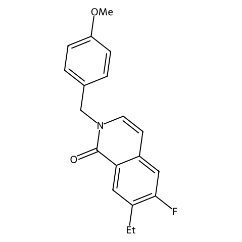 CCc1cc2c(=O)n(Cc3ccc(OC)cc3)ccc2cc1F